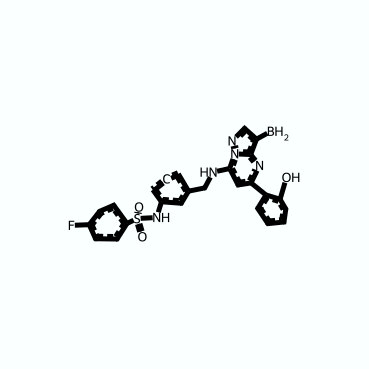 Bc1cnn2c(NCc3cccc(NS(=O)(=O)c4ccc(F)cc4)c3)cc(-c3ccccc3O)nc12